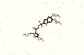 CCn1nc(C)cc1C(=O)CCC(F)(F)c1cc2cc(OC)c(OC)cc2s1